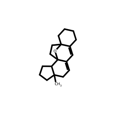 CC12CC=C3C=C4CCCCC45CCC3(O5)C1CCC2